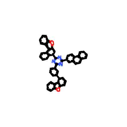 c1cc(-c2nc(-c3ccc4c(ccc5ccccc54)c3)nc(-c3cc4oc5ccccc5c4c4ccccc34)n2)cc(-c2cccc3oc4ccccc4c23)c1